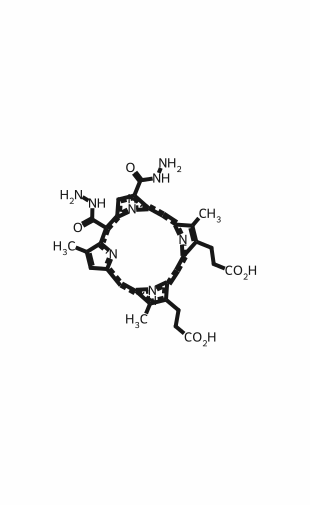 CC1=Cc2cc3[nH]c(cc4nc(cc5[nH]c(cc5C(=O)NN)c(C(=O)NN)c1n2)C(C)=C4CCC(=O)O)c(CCC(=O)O)c3C